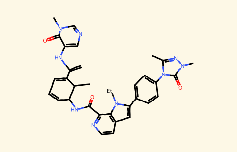 C=C(Nc1cncn(C)c1=O)C1=CC=CC(NC(=O)c2nccc3cc(-c4ccc(-n5c(C)nn(C)c5=O)cc4)n(CC)c23)C1C